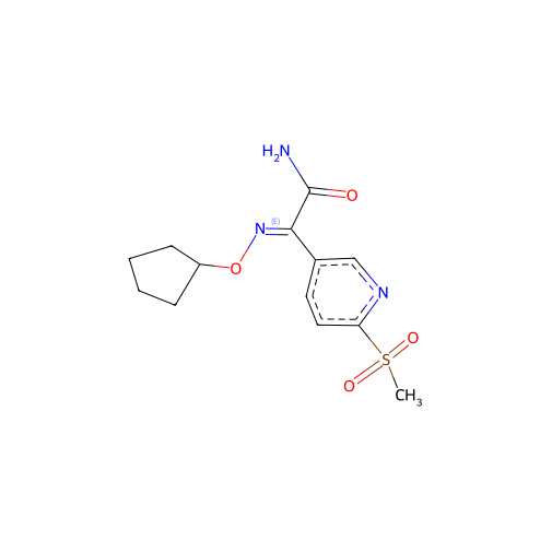 CS(=O)(=O)c1ccc(/C(=N\OC2CCCC2)C(N)=O)cn1